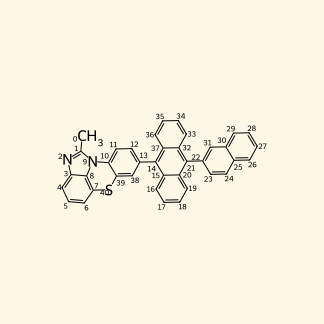 Cc1nc2cccc3c2n1-c1ccc(-c2c4ccccc4c(-c4ccc5ccccc5c4)c4ccccc24)cc1S3